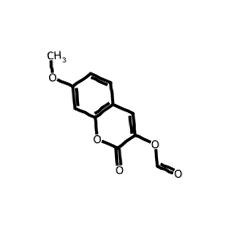 COc1ccc2cc(OC=O)c(=O)oc2c1